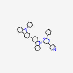 C1=C(c2ccc3c4ccccc4n(-c4ccccc4)c3c2)CCc2c1c1ccccc1n2-c1cc(-c2ccncc2)nc(-c2ccccc2)n1